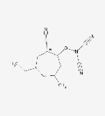 CCC1CC(C)CC(ON(C#N)C#N)[C@@H](C#N)C1